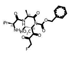 CC(C)[C@H](N)C(=O)N[C@@H](C)C(=O)N(C(=O)OCc1ccccc1)[C@@H](CC(=O)O)C(=O)C(=O)CF